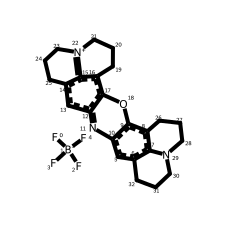 F[B-](F)(F)F.c1c2c3c(c4c1N=c1cc5c6c(c1O4)CCC[N+]=6CCC5)CCCN3CCC2